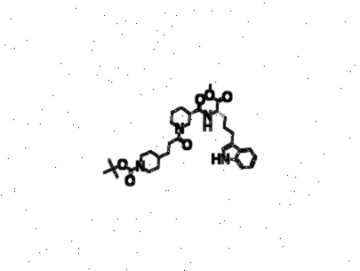 COC(=O)[C@H](CCCc1c[nH]c2ccccc12)NC(=O)[C@@H]1CCCN(C(=O)CCC2CCN(C(=O)OC(C)(C)C)CC2)C1